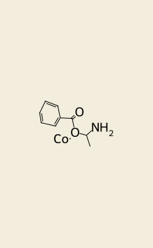 CC(N)OC(=O)c1ccccc1.[Co]